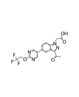 CC(=O)c1nn(CC(=O)O)c2ccc(-c3cnc(OCC(F)(F)F)nc3)cc12